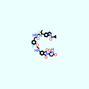 Cc1sc(NC(=O)Cc2ccc(F)c(OCCNc3ccc4c(c3)C(=O)N(C3CCC(=O)NC3=O)C4=O)c2)nc1-c1ccc2c(ccn2C(=O)C2CC2)c1